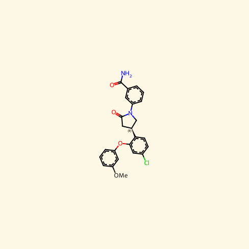 COc1cccc(Oc2cc(Cl)ccc2[C@H]2CC(=O)N(c3cccc(C(N)=O)c3)C2)c1